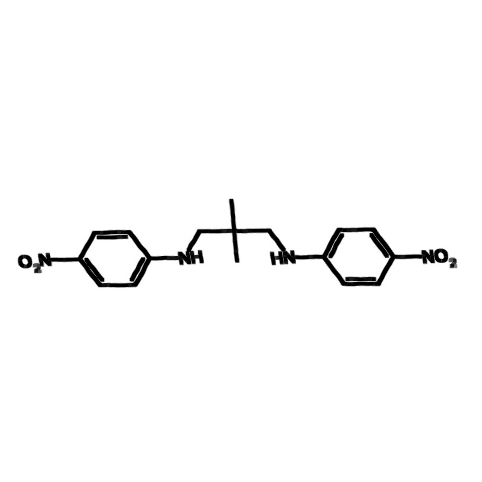 CC(C)(CNc1ccc([N+](=O)[O-])cc1)CNc1ccc([N+](=O)[O-])cc1